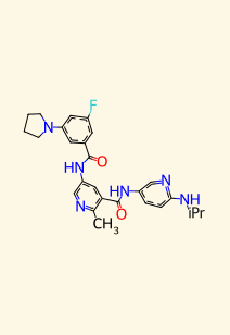 Cc1ncc(NC(=O)c2cc(F)cc(N3CCCC3)c2)cc1C(=O)Nc1ccc(NC(C)C)nc1